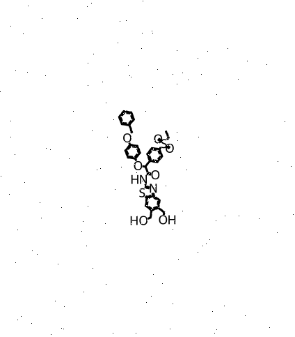 CCS(=O)(=O)c1ccc(C(Oc2ccc(OCc3ccccc3)cc2)C(=O)Nc2nc3cc(CO)c(CO)cc3s2)cc1